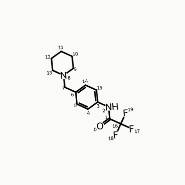 O=C(Nc1ccc(CN2CCCCC2)cc1)C(F)(F)F